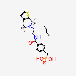 CCCC.C[C@@H]1Cc2ccsc2[C@H](C)N1CCNC(=O)c1ccc(CP(=O)(O)O)cc1